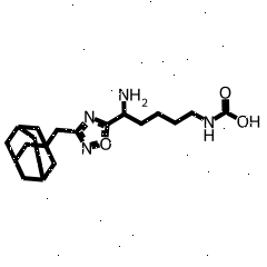 NC(CCCCNC(=O)O)c1nc(CC23CC4CC(CC(C4)C2)C3)no1